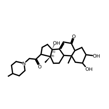 CC1CCN(CC(=O)C2CC[C@@]3(O)C4=CC(=O)C5CC(O)C(O)CC5(C)C4CC[C@]23C)CC1